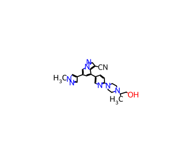 CC(CO)N1CCN(c2ccc(-c3cc(-c4cnn(C)c4)cn4ncc(C#N)c34)cn2)CC1